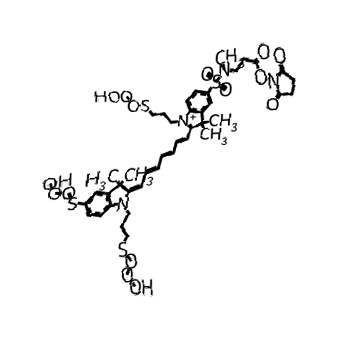 CN(CCC(=O)ON1C(=O)CCC1=O)S(=O)(=O)c1ccc2c(c1)C(C)(C)C(/C=C/C=C/C=C/C=C1/N(CCCSOOO)c3ccc(SOOO)cc3C1(C)C)=[N+]2CCCSOOO